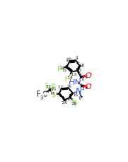 CN(C(=O)NC(=O)c1cccc(F)c1F)c1ccc(SC(F)(F)C(F)(F)F)cc1F